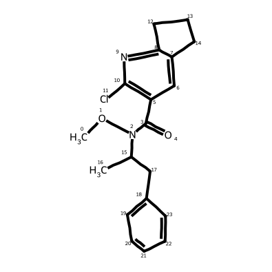 CON(C(=O)c1cc2c(nc1Cl)CCC2)C(C)Cc1ccccc1